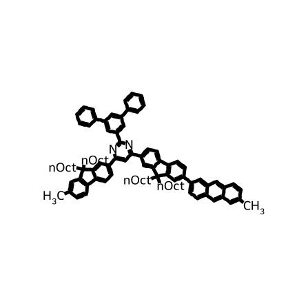 CCCCCCCCC1(CCCCCCCC)c2cc(C)ccc2-c2ccc(-c3cc(-c4ccc5c(c4)C(CCCCCCCC)(CCCCCCCC)c4cc(-c6ccc7cc8cc(C)ccc8cc7c6)ccc4-5)nc(-c4cc(-c5ccccc5)cc(-c5ccccc5)c4)n3)cc21